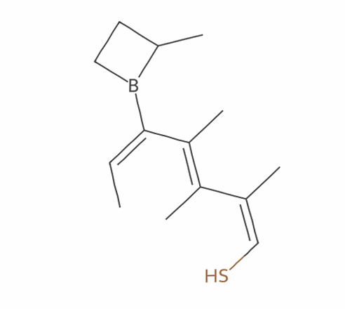 C\C=C(B1CCC1C)/C(C)=C(C)/C(C)=C\S